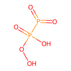 O=P(=O)P(=O)(O)OO